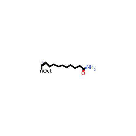 CCCCCCCC/C=C\CCCCCCCCC(N)=O